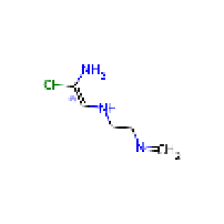 C=NCCN/C=C(\N)Cl